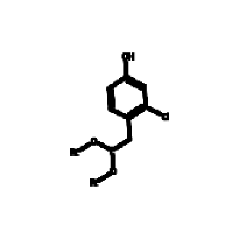 CCOP(Cc1ccc(O)cc1Cl)OCC